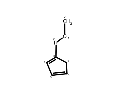 C[O][Ti][C]1=CC=CC1